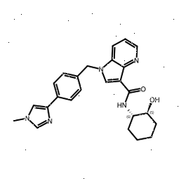 Cn1cnc(-c2ccc(Cn3cc(C(=O)N[C@H]4CCCC[C@@H]4O)c4ncccc43)cc2)c1